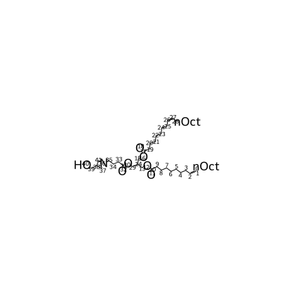 CCCCCCCC/C=C\CCCCCCCC(=O)OCC(COC(=O)CCCCCCC/C=C\CCCCCCCC)COC(=O)CCCN1CC(CO)C1